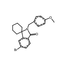 COc1ccc(CN2C(=O)c3ccc(Br)cc3C23CCCCC3)cc1